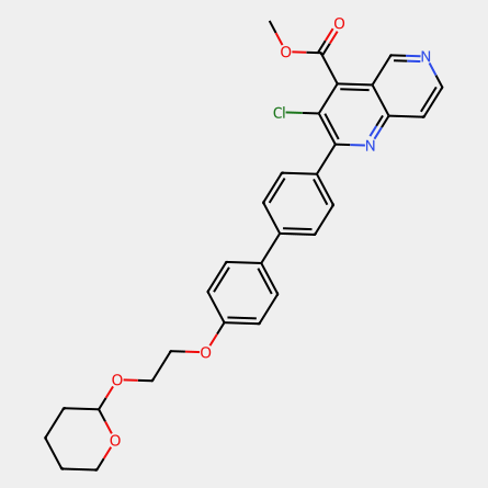 COC(=O)c1c(Cl)c(-c2ccc(-c3ccc(OCCOC4CCCCO4)cc3)cc2)nc2ccncc12